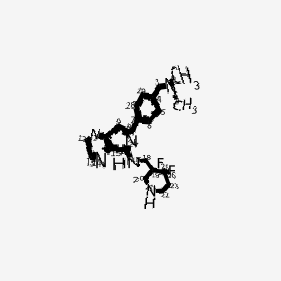 CN(C)Cc1ccc(-c2cc3nccnc3c(NCC3CNCCC3(F)F)n2)cc1